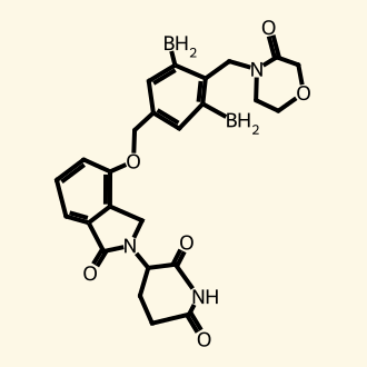 Bc1cc(COc2cccc3c2CN(C2CCC(=O)NC2=O)C3=O)cc(B)c1CN1CCOCC1=O